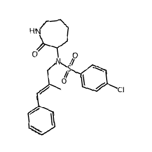 C/C(=C\c1ccccc1)CN(C1CCCCNC1=O)S(=O)(=O)c1ccc(Cl)cc1